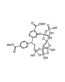 COC(=O)c1ccc(C(SOP(=O)(O)OP(=O)(O)OP(=O)(O)OP(=O)(O)OP(=O)(O)OP(=O)(O)O)c2ccc(C(=O)OC)cc2)cc1